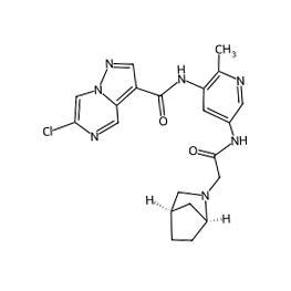 Cc1ncc(NC(=O)CN2C[C@@H]3CC[C@H]2C3)cc1NC(=O)c1cnn2cc(Cl)ncc12